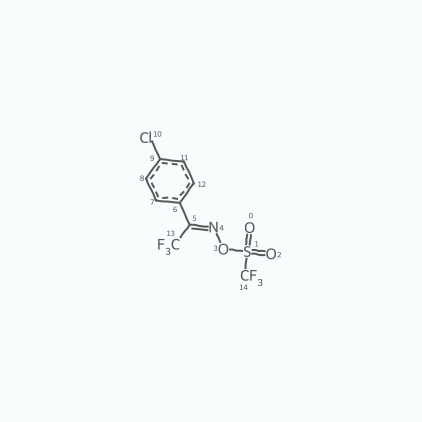 O=S(=O)(ON=C(c1ccc(Cl)cc1)C(F)(F)F)C(F)(F)F